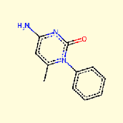 Cc1cc(N)nc(=O)n1-c1ccccc1